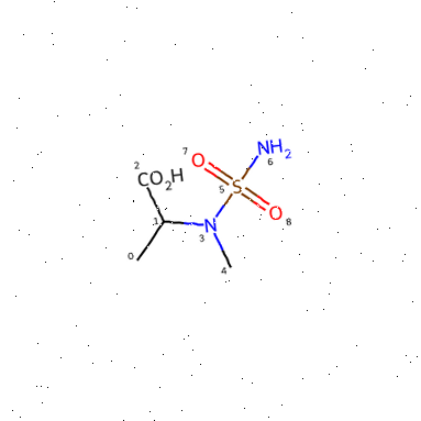 CC(C(=O)O)N(C)S(N)(=O)=O